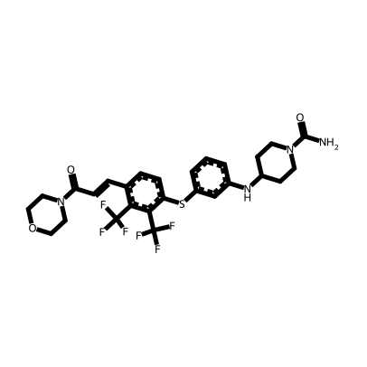 NC(=O)N1CCC(Nc2cccc(Sc3ccc(/C=C/C(=O)N4CCOCC4)c(C(F)(F)F)c3C(F)(F)F)c2)CC1